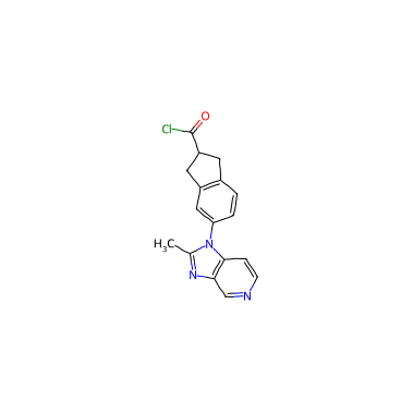 Cc1nc2cnccc2n1-c1ccc2c(c1)CC(C(=O)Cl)C2